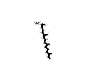 C/C=C(\C)CC/C=C(\C)CC/C=C(\C)CC/C=C(\C)SC